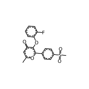 Cc1cc(=O)c(Oc2ccccc2F)c(-c2ccc(S(C)(=O)=O)cc2)o1